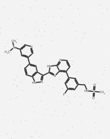 CN(C)c1cncc(-c2ccc3[nH]nc(-c4nc5c(-c6cc(F)cc(CNS(C)(=O)=O)c6)ccnc5[nH]4)c3c2)c1